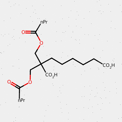 CCCC(=O)OCC(CCCCCC(=O)O)(COC(=O)CCC)C(=O)O